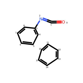 O=C=Nc1ccccc1.c1ccccc1